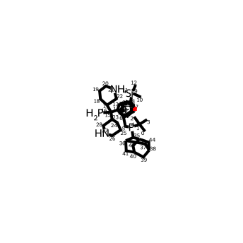 CC(C)(C)P(C[C]12[CH]3[C]4([Si](C)(C)C)[CH]5[C]1(C(P)(C1CCCNC1)C1CCCNC1)[Fe]35241678[CH]2[CH]1[CH]6[CH]7[CH]28)C1C2CC3CC(C2)CC1C3